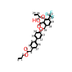 C=CCOC(=O)Cc1ccc(-c2ccc(OCc3ccc(C(F)(F)F)c(OCC=C)c3C(=O)O)cc2)cc1